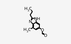 CCCc1nc2c(C)cc(OC=O)cc2[nH]1